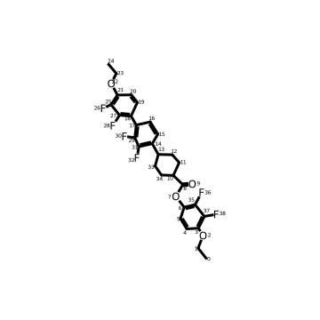 CCOc1ccc(OC(=O)C2CCC(c3ccc(-c4ccc(OCC)c(F)c4F)c(F)c3F)CC2)c(F)c1F